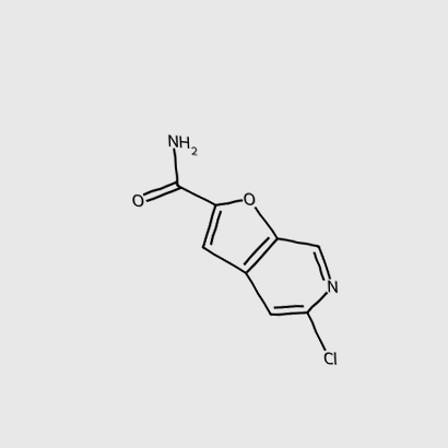 NC(=O)c1cc2cc(Cl)ncc2o1